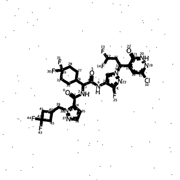 O=C(NC(C(=O)Nc1cn(C(CC(F)F)c2cc(Cl)n[nH]c2=O)nc1F)C1CCC(F)(F)CC1)c1ccnn1CC1CC(F)(F)C1